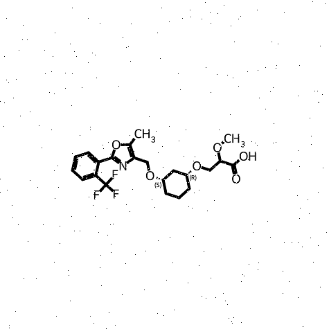 COC(CO[C@@H]1CCC[C@H](OCc2nc(-c3ccccc3C(F)(F)F)oc2C)C1)C(=O)O